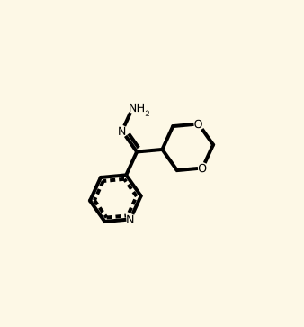 NN=C(c1cccnc1)C1COCOC1